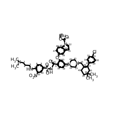 CN(C)CCCNc1ccc(S(=O)(=O)NC(=O)c2ccc(N3CCN(CC4=C(c5ccc(Cl)cc5)CC(C)(C)CC4)CC3)cc2Oc2ccc3c(ccn3C(=O)OC(C)(C)C)c2)cc1[N+](=O)[O-]